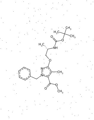 COC(=O)c1c(C)c(OC[C@H](C)NC(=O)OC(C)(C)C)nn1Cc1ccccc1